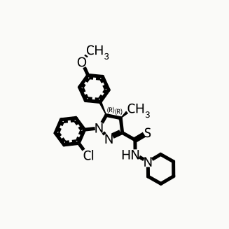 COc1ccc([C@H]2[C@@H](C)C(C(=S)NN3CCCCC3)=NN2c2ccccc2Cl)cc1